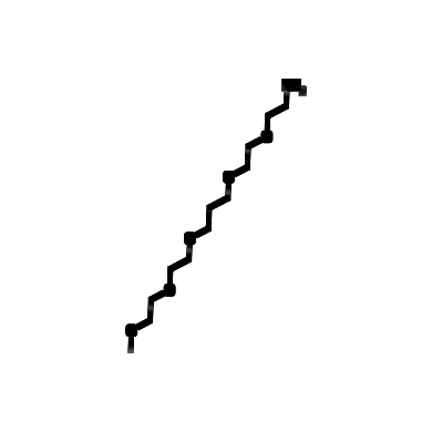 COCCOCCOCCCOCCOCCN